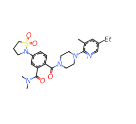 CCc1cnc(N2CCN(C(=O)c3ccc(N4CCCS4(=O)=O)cc3C(=O)N(C)C)CC2)c(C)c1